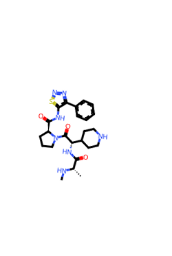 CN[C@@H](C)C(=O)N[C@H](C(=O)N1CCC[C@H]1C(=O)Nc1snnc1-c1ccccc1)C1CCNCC1